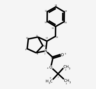 CC(C)(C)OC(=O)N1C2CCC(C2)C1Cc1ccccc1